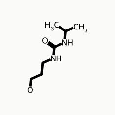 CC(C)NC(=O)NCCC[O]